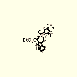 CCOC(=O)C1=CN(C(=O)c2cc(F)cc(C(F)(F)F)c2)CCc2c1[nH]c1ccccc21